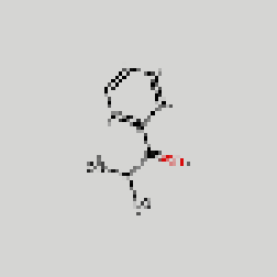 O=NC(N=O)C(=O)c1ccccc1